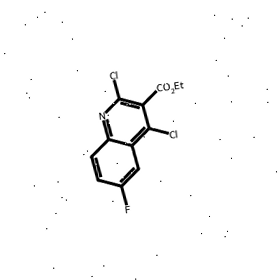 CCOC(=O)c1c(Cl)nc2ccc(F)cc2c1Cl